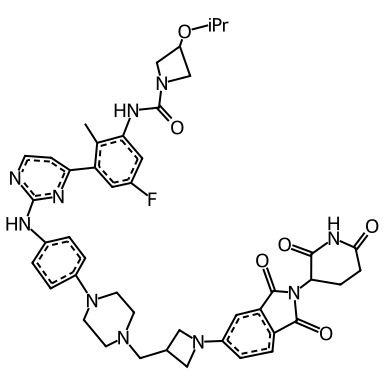 Cc1c(NC(=O)N2CC(OC(C)C)C2)cc(F)cc1-c1ccnc(Nc2ccc(N3CCN(CC4CN(c5ccc6c(c5)C(=O)N(C5CCC(=O)NC5=O)C6=O)C4)CC3)cc2)n1